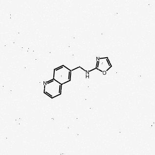 c1cnc2ccc(CNc3ncco3)cc2c1